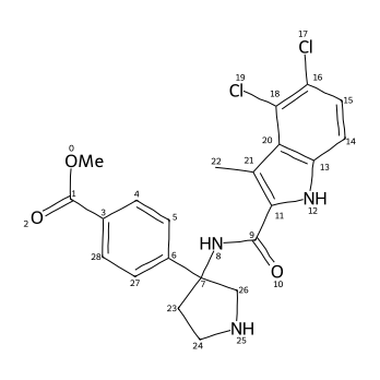 COC(=O)c1ccc(C2(NC(=O)c3[nH]c4ccc(Cl)c(Cl)c4c3C)CCNC2)cc1